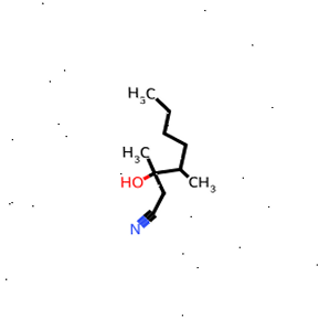 CCCCC(C)C(C)(O)CC#N